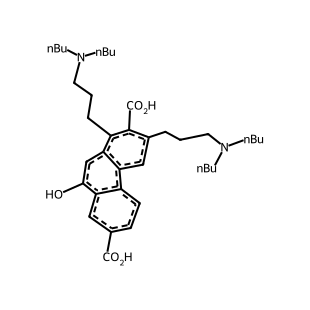 CCCCN(CCCC)CCCc1cc2c(cc(O)c3cc(C(=O)O)ccc32)c(CCCN(CCCC)CCCC)c1C(=O)O